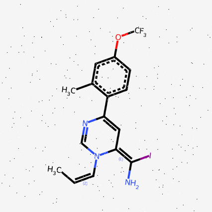 C/C=C\N1C=NC(c2ccc(OC(F)(F)F)cc2C)=C/C1=C(/N)I